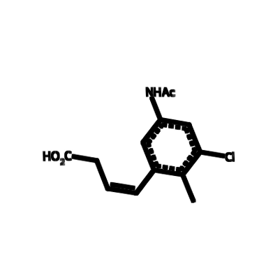 CC(=O)Nc1cc(Cl)c(C)c(/C=C\CC(=O)O)c1